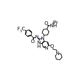 CC(C)NC(=O)C1CCC(n2/c(=N/C(=O)c3ccc(C(F)(F)F)cc3)[nH]c3cnc(OCCN4CCCCC4)cc32)CC1